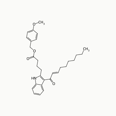 CCCCCCC/C=C/C(=O)c1c(CCCC(=O)OCc2ccc(OC)cc2)[nH]c2ccccc12